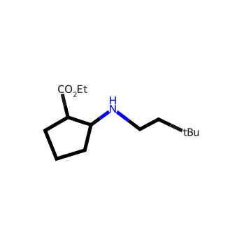 CCOC(=O)C1CCCC1NCCC(C)(C)C